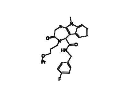 CC(C)OCCCN1C(=O)CSc2c(c3ccccc3n2C)C1C(=O)NCc1ccc(F)cc1